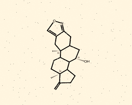 C=C1CCC2C3C(CC[C@]12C)[C@@]1(C)Cc2conc2CC1C[C@@H]3O